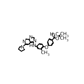 Cc1cc(Nc2ncnc3cnc(N4CCCC4)cc23)ccc1Oc1ccc(C(=O)OC(C)(C)C)cc1